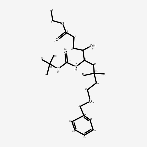 CCOC(=O)CCC(O)C(CC(C)(C)CCOCc1ccccc1)NC(=O)OC(C)(C)C